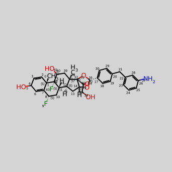 C[C@]12C=CC(O)C=C1[C@@H](F)C[C@H]1[C@@H]3C[C@H]4O[C@@H](c5ccc(Cc6cccc(N)c6)cc5)O[C@@]4(C(=O)CO)[C@@]3(C)C[C@H](O)[C@@]12F